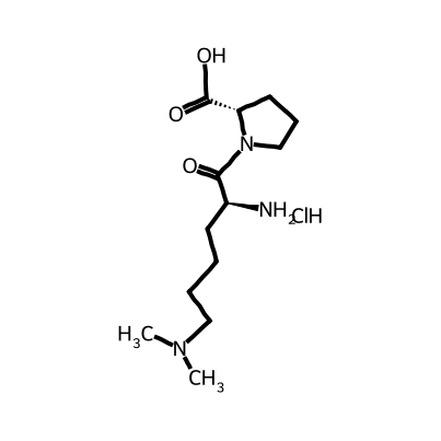 CN(C)CCCC[C@H](N)C(=O)N1CCC[C@H]1C(=O)O.Cl